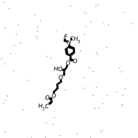 C=CC(=O)OCCCCOCC(O)COC(=O)c1ccc(N(C)CF)cc1